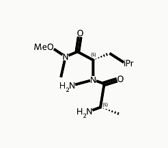 CON(C)C(=O)[C@H](CC(C)C)N(N)C(=O)[C@H](C)N